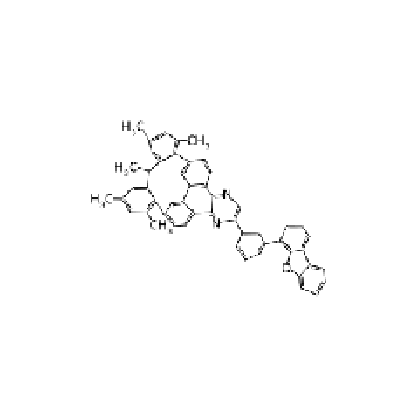 Cc1cc(C)c2c(c1)C(C)c1cc(C)cc(C)c1-c1ccc3c(c1)c1cc-2ccc1c1ncc(-c2cccc(-c4cccc5c4oc4ccccc45)c2)nc31